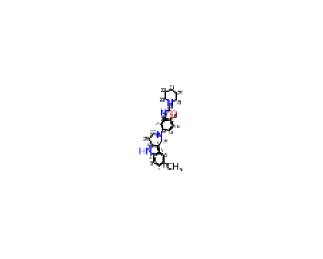 Cc1ccc2[nH]c3c(c2c1)CN(c1ccc2oc(N4CCCCC4)nc2c1)CC3